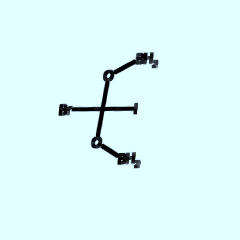 BOC(Br)(I)OB